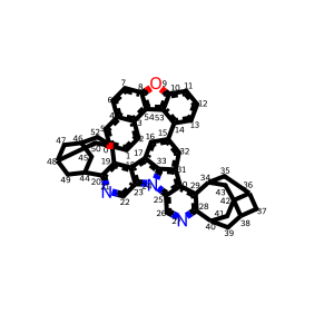 c1ccc2c(c1)ccc1oc3cccc(-c4cc5c6c7c(ncc6n6c8cnc9c(c8c(c4)c56)C4CC5CC6CC9CC65C4)C4CC5CC(C4)CC7C5)c3c12